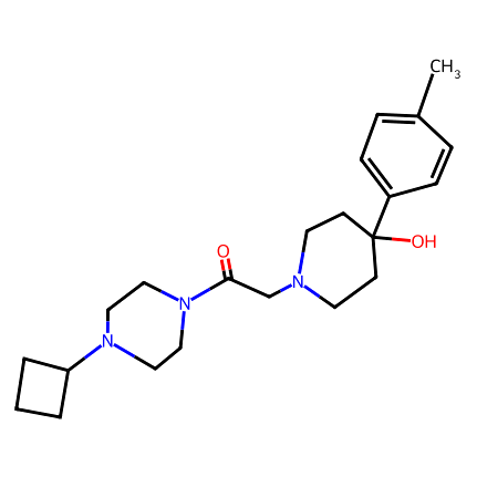 Cc1ccc(C2(O)CCN(CC(=O)N3CCN(C4CCC4)CC3)CC2)cc1